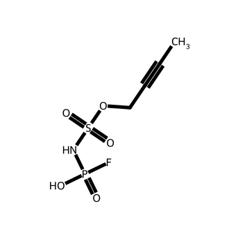 CC#CCOS(=O)(=O)NP(=O)(O)F